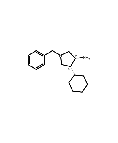 N[C@@H]1CN(Cc2ccccc2)C[C@H]1C1CCCCC1